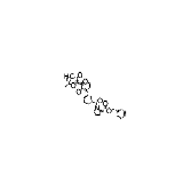 CC(=O)O[C@@H](C(=O)O)[C@H]1OCCN(c2cccc(C(=O)N3CCC[C@H]3C(=O)OCc3ccccc3)c2)C1=O